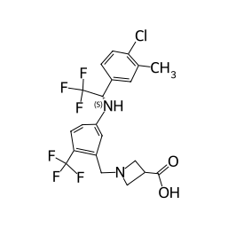 Cc1cc([C@H](Nc2ccc(C(F)(F)F)c(CN3CC(C(=O)O)C3)c2)C(F)(F)F)ccc1Cl